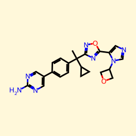 CC(c1ccc(-c2cnc(N)nc2)cc1)(c1noc(-c2cncn2C2COC2)n1)C1CC1